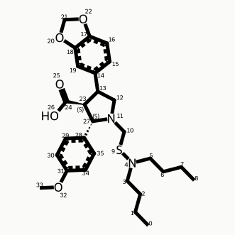 CCCCN(CCCC)SCN1CC(c2ccc3c(c2)OCO3)[C@H](C(=O)O)[C@H]1c1ccc(OC)cc1